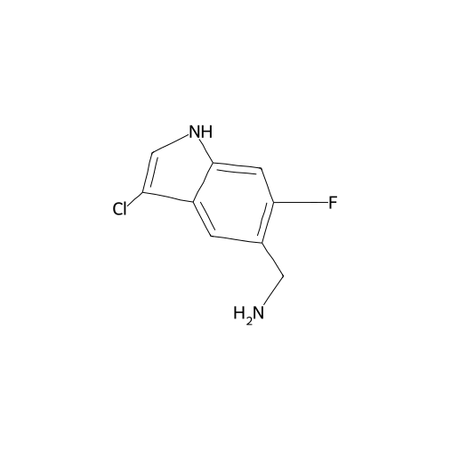 NCc1cc2c(Cl)c[nH]c2cc1F